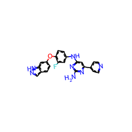 Nc1nc(Nc2ccc(Oc3ccc4cn[nH]c4c3)c(F)c2)cc(-c2ccncc2)n1